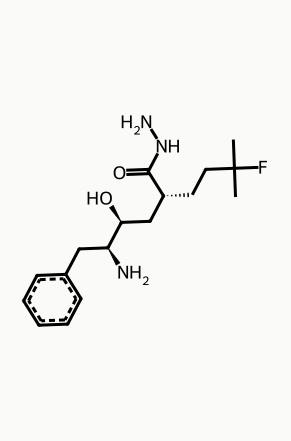 CC(C)(F)CC[C@H](C[C@H](O)[C@@H](N)Cc1ccccc1)C(=O)NN